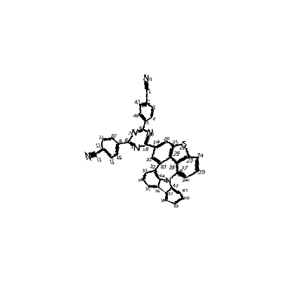 N#Cc1ccc(-c2nc(-c3ccc(C#N)cc3)nc(-c3cc4sc5cccc6c5c4c(c3)c3cccc4c5ccccc5n6c34)n2)cc1